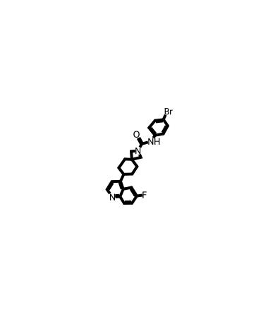 O=C(Nc1ccc(Br)cc1)N1CC2(CCC(c3ccnc4ccc(F)cc34)CC2)C1